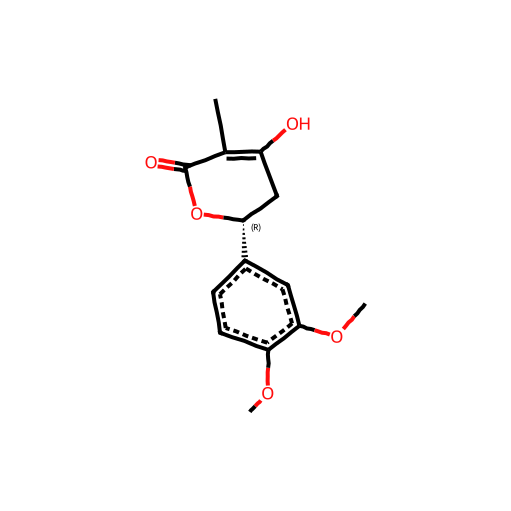 COc1ccc([C@H]2CC(O)=C(C)C(=O)O2)cc1OC